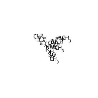 CC(=O)SCCN(CCc1ccc(Cl)cc1)C(=O)N[C@@H](C)C(=O)N1CCN(C)CC1